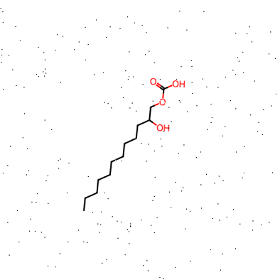 CCCCCCCCCCC(O)COC(=O)O